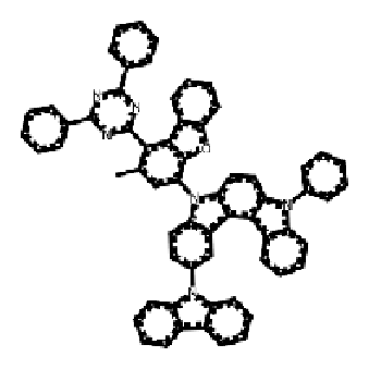 Cc1cc(-n2c3ccc(-n4c5ccccc5c5ccccc54)cc3c3c4c5ccccc5n(-c5ccccc5)c4ccc32)c2oc3ccccc3c2c1-c1nc(-c2ccccc2)nc(-c2ccccc2)n1